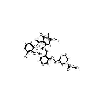 COc1c(Cl)cccc1NC(=S)C1=C(NCc2ccncc2OCC2CN(C(=O)OC(C)(C)C)CCO2)CC(C)NC1=O